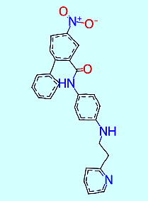 O=C(Nc1ccc(NCCc2ccccn2)cc1)c1cc([N+](=O)[O-])ccc1-c1ccccc1